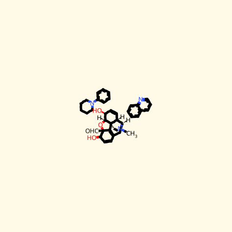 CN1CC[C@]23C4=C5C=CC(O)C4(C=O)O[C@H]2[C@@H](O)C=C[C@H]3[C@H]1C5.c1ccc(N2CCCCC2)cc1.c1ccc2ncccc2c1